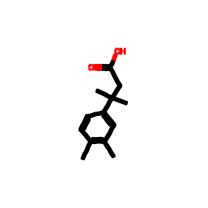 Cc1ccc(C(C)(C)CC(=O)O)cc1C